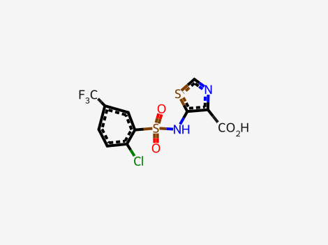 O=C(O)c1ncsc1NS(=O)(=O)c1cc(C(F)(F)F)ccc1Cl